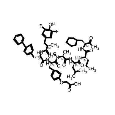 CC(=O)[C@H](CC1CCCCC1)NC(=O)[C@H](CCN)NC(=O)[C@@H](CC(C)C)NC(=O)[C@H](C)N(C)C(=O)[C@H](Cc1ccc(OCC(=O)O)cc1)NC(=O)[C@H](Cc1ccc(-c2ccccc2)cc1)NC(=O)[C@@H](C)Cc1cc(F)c(O)c(F)c1